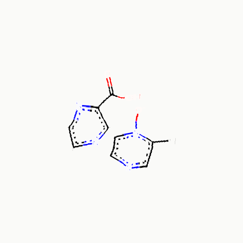 Cc1cncc[n+]1[O-].O=C(O)c1cnccn1